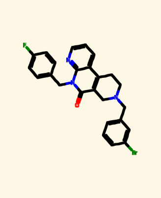 O=c1c2c(c3cccnc3n1Cc1ccc(F)cc1)CCN(Cc1cccc(Br)c1)C2